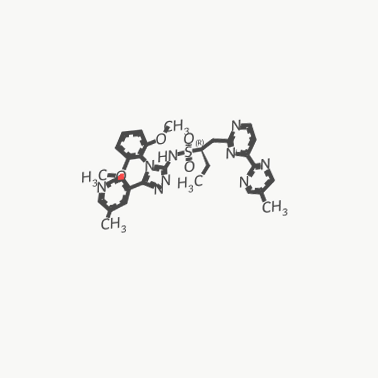 CC[C@H](Cc1nccc(-c2ncc(C)cn2)n1)S(=O)(=O)Nc1nnc(-c2cncc(C)c2)n1-c1c(OC)cccc1OC